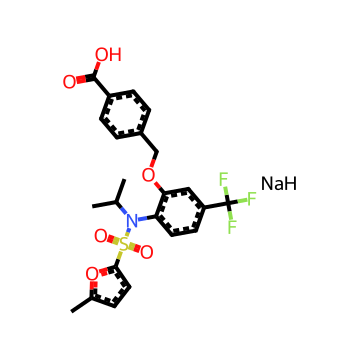 Cc1ccc(S(=O)(=O)N(c2ccc(C(F)(F)F)cc2OCc2ccc(C(=O)O)cc2)C(C)C)o1.[NaH]